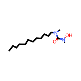 CCCCCCCCCCCCN(C)C(=O)N(C)O